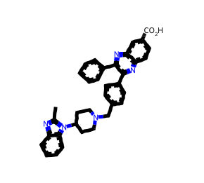 Cc1nc2ccccc2n1C1CCN(Cc2ccc(-c3nc4ccc(C(=O)O)cc4nc3-c3ccccc3)cc2)CC1